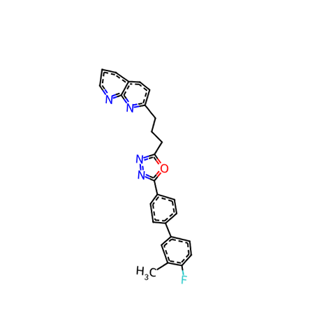 Cc1cc(-c2ccc(-c3nnc(CCCc4ccc5cccnc5n4)o3)cc2)ccc1F